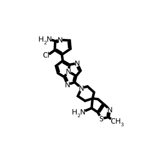 Cc1nc2c(s1)C(N)C1(CCN(c3nc4ccc(-c5ccnc(N)c5Cl)c5ncc3n45)CC1)C2